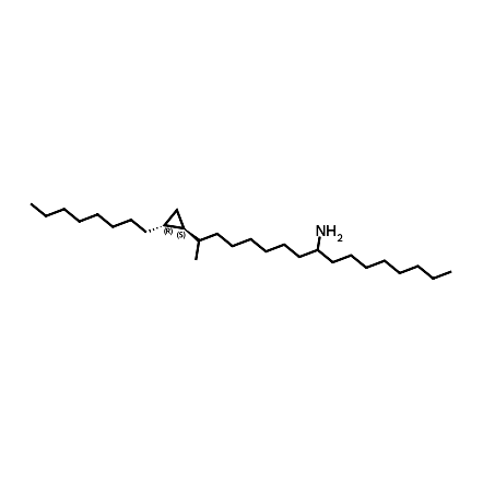 CCCCCCCCC(N)CCCCCCC(C)[C@@H]1C[C@H]1CCCCCCCC